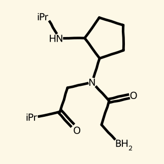 BCC(=O)N(CC(=O)C(C)C)C1CCCC1NC(C)C